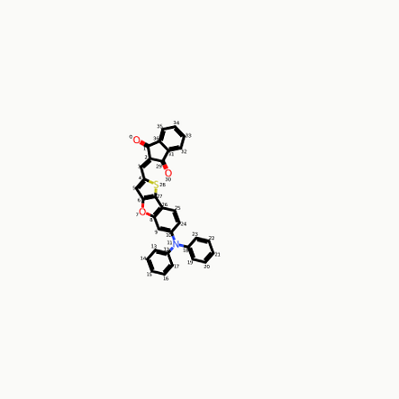 O=C1C(=Cc2cc3oc4cc(N(c5ccccc5)c5ccccc5)ccc4c3s2)C(=O)c2ccccc21